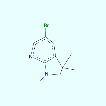 CN1CC(C)(C)c2cc(Br)cnc21